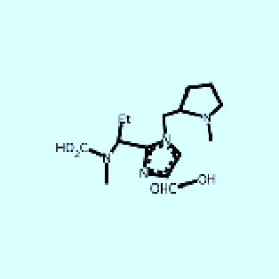 CCC(c1nccn1CC1CCCN1C)N(C)C(=O)O.O=CO